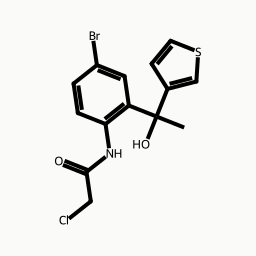 CC(O)(c1ccsc1)c1cc(Br)ccc1NC(=O)CCl